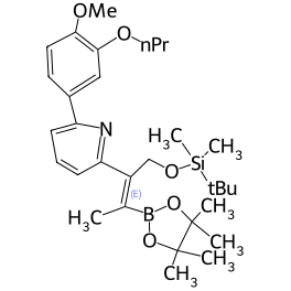 CCCOc1cc(-c2cccc(/C(CO[Si](C)(C)C(C)(C)C)=C(\C)B3OC(C)(C)C(C)(C)O3)n2)ccc1OC